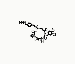 COc1ccc(C[C@H]2NC(=O)/C=C/C[C@@H]([C@H](C)/C=C/c3ccc(CN=[N+]=[N-])cc3)OC(=O)[C@H](CC(C)C)NC(=O)C(C)(C)[C@@H](C)NC2=O)cc1Cl